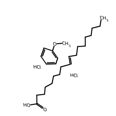 CCCCCCCCC=CCCCCCCCC(=O)O.COc1ccccc1.Cl.Cl